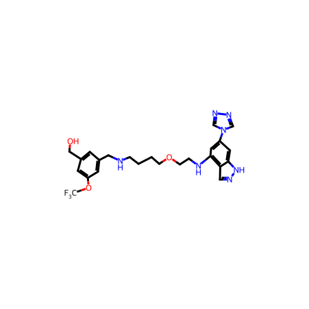 OCc1cc(CNCCCCOCCNc2cc(-n3cnnc3)cc3[nH]ncc23)cc(OC(F)(F)F)c1